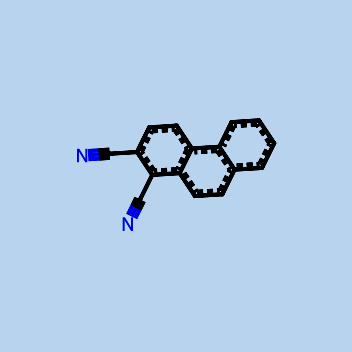 N#Cc1ccc2c(ccc3ccccc32)c1C#N